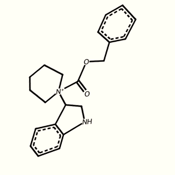 O=C(OCc1ccccc1)[N+]1(C2CNc3ccccc32)CCCCC1